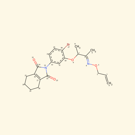 C=CCON=C(C)C(C)Oc1cc(N2C(=O)C3=C(CCCC3)C2=O)ccc1Br